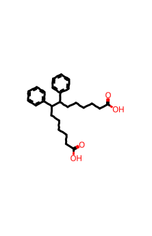 O=C(O)CCCCCC(c1ccccc1)C(CCCCCC(=O)O)c1ccccc1